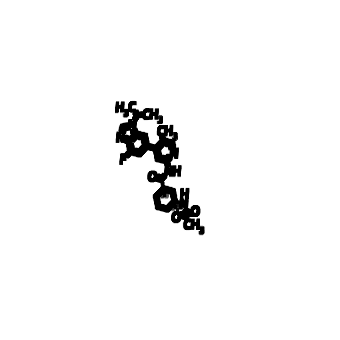 Cc1cnc(NC(=O)[C@H]2CCC[C@@H](NS(C)(=O)=O)C2)cc1-c1cc(F)c2ncn(C(C)C)c2c1